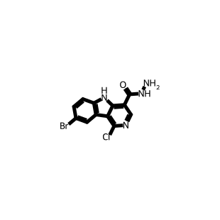 NNC(=O)c1cnc(Cl)c2c1[nH]c1ccc(Br)cc12